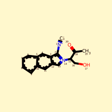 [C-]#[N+]c1c2cc3ccccc3cc2cn1C(CO)C(C)=O